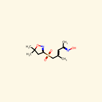 CC(=CC(C)=NO)CS(=O)(=O)C1=NOC(C)(C)C1